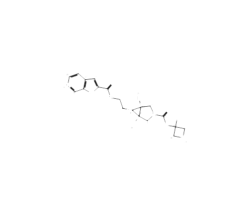 CC1(OC(=O)N2C[C@@H]3[C@@H](CCNC(=O)c4cc5ccncc5o4)[C@@H]3C2)COC1